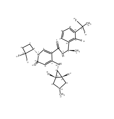 C[C@@H](NC(=O)c1cn([C@H]2CCC2(F)F)c(=O)cc1N[C@@H]1[C@@H]2CN(C)C[C@@H]21)c1cccc(C(C)(F)F)c1F